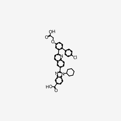 O=C(O)COc1ccc(-c2ccc(Cl)cc2)c(-c2ccc3cc(-c4nc5cc(C(=O)O)ccc5n4C4CCCCC4)ccc3n2)c1